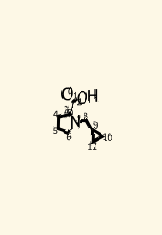 O=C(O)[C@@H]1CCCN1CC1CC1